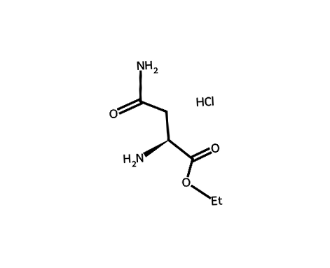 CCOC(=O)[C@@H](N)CC(N)=O.Cl